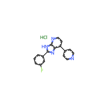 Cl.Fc1cccc(-c2nc3c(-c4ccncc4)ccnc3[nH]2)c1